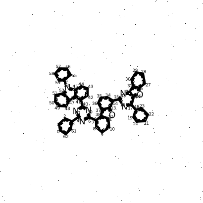 c1ccc(-c2nc(-c3cccc4oc5c(-c6nc(-c7ccccc7)c7oc8ccccc8c7n6)cccc5c34)nc(-c3cccc4c3c3ccccc3n4-c3ccccc3)n2)cc1